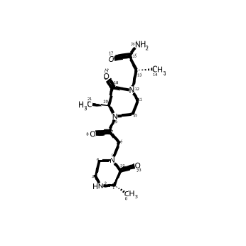 C[C@@H]1NCCN(CC(=O)N2CCN([C@@H](C)C(N)=O)C(=O)[C@@H]2C)C1=O